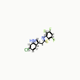 Fc1cc(F)c2sc(Cc3c[nH]c4cc(Cl)ccc34)nc2c1F